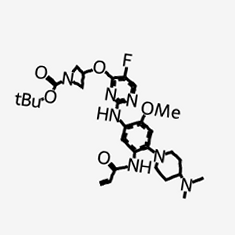 C=CC(=O)Nc1cc(Nc2ncc(F)c(OC3CN(C(=O)OC(C)(C)C)C3)n2)c(OC)cc1N1CCC(N(C)C)CC1